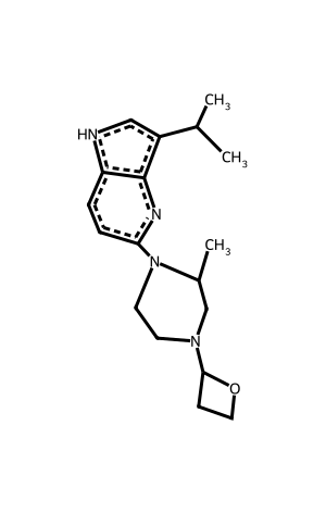 CC(C)c1c[nH]c2ccc(N3CCN(C4CCO4)CC3C)nc12